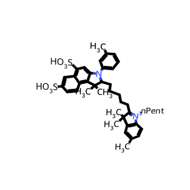 CCCCC[N+]1=C(CCCCCC2N(c3cccc(C)c3)c3cc(S(=O)(=O)O)c4cc(S(=O)(=O)O)ccc4c3C2(C)C)C(C)(C)c2cc(C)ccc21